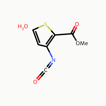 COC(=O)c1sccc1N=C=O.O